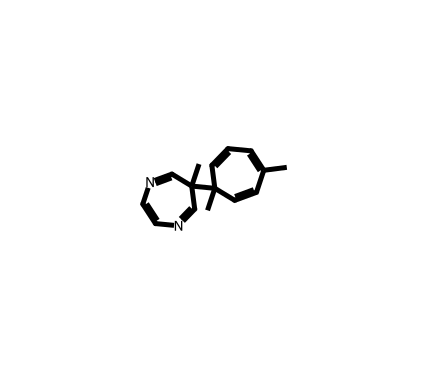 CC1=CC=CC(C)(C2(C)C=NC=CN=C2)C=C1